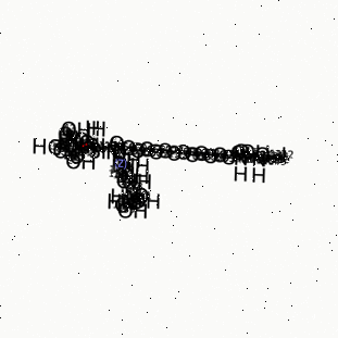 N=N/C(=C\NCC(=O)N[C@@H](CCCCNC(=S)Nc1ccc(CC2CN(CC(=O)O)CCN(CC(=O)O)CCN(CC(=O)O)CCN2CC(=O)O)cc1)C(=O)NCCOCCOCCOCCOCCOCCOCCOCCOCCOCCOCCOCCOCCC(=O)N[C@@H](CCCCNC(=O)CCCc1ccc(I)cc1)C(=O)O)c1cccc(NC(=O)NCCCC[C@H](NC(=O)NCC(=O)O)C(=O)O)c1